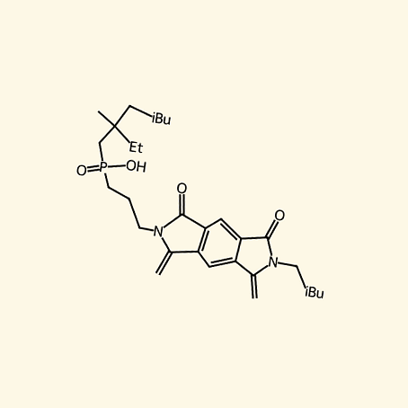 C=C1c2cc3c(cc2C(=O)N1CCCP(=O)(O)CC(C)(CC)CC(C)CC)C(=O)N(CC(C)CC)C3=C